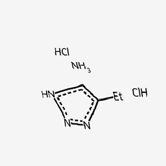 CCc1c[nH]nn1.Cl.Cl.N